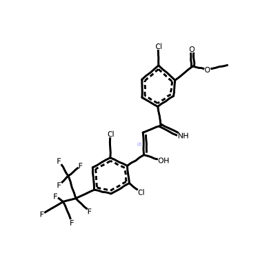 COC(=O)c1cc(C(=N)/C=C(\O)c2c(Cl)cc(C(F)(C(F)(F)F)C(F)(F)F)cc2Cl)ccc1Cl